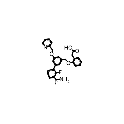 C[C@@H](N)c1cccc(-c2cc(COc3ccccc3CC(=O)O)cc(OCc3ccccn3)c2)c1F